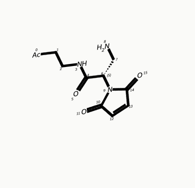 CC(=O)CCNC(=O)[C@H](CN)N1C(=O)C=CC1=O